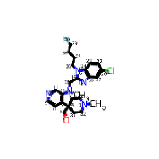 CN1CCC(C=O)(c2ccncc2N(C)Cc2nc3cc(Cl)ccc3n2CCCCF)CC1